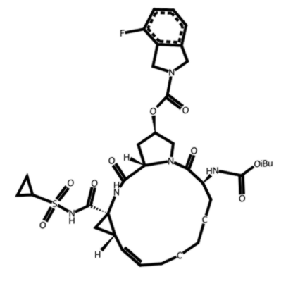 CC(C)COC(=O)N[C@H]1CCCCC/C=C\[C@@H]2C[C@@]2(C(=O)NS(=O)(=O)C2CC2)NC(=O)[C@@H]2C[C@@H](OC(=O)N3Cc4cccc(F)c4C3)CN2C1=O